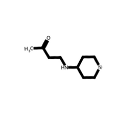 CC(=O)CCNC1CC[N]CC1